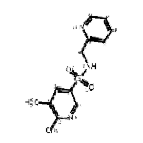 Cc1cc(S(=O)(=O)NCc2ccccn2)cnc1Cl